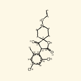 CCON1CCC2(CC1)OC(=O)C(c1c(C)cc(Cl)cc1Cl)C2=O